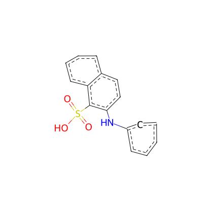 O=S(=O)(O)c1c(Nc2ccccc2)ccc2ccccc12